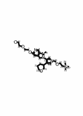 CN1c2cnc(OCCOCC[O])cc2CN1c1cn(COCC[Si](C)(C)C)nc1C1CCCOC1